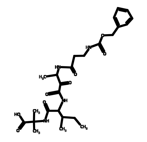 CCC(C)C(NC(=O)C(=O)C(C)NC(=O)CCNC(=O)OCc1ccccc1)C(=O)NC(C)(C)C(=O)O